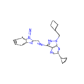 c1ccc2[nH]c(CNc3nn(CC4CCC4)c4nc(C5CC5)cnc34)nc2c1